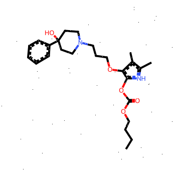 CCCCOC(=O)Oc1[nH]c(C)c(C)c1OCCCN1CCC(O)(c2ccccc2)CC1